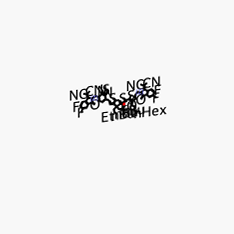 CCCCCCC(CCCC)COc1cc(/C=C2\C(=O)c3cc(F)c(F)cc3C2=C(C#N)C#N)sc1-c1cc2c(s1)-c1sc(-c3ccc(/C=C4\C(=O)c5cc(F)c(F)cc5C4=C(C#N)C#N)c4nsnc34)cc1C2(CC(CC)CCCC)CC(CC)CCCC